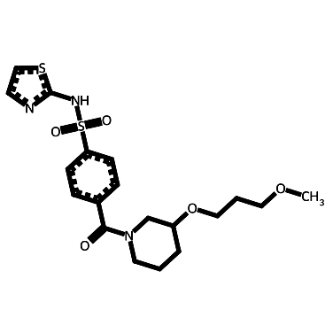 COCCCOC1CCCN(C(=O)c2ccc(S(=O)(=O)Nc3nccs3)cc2)C1